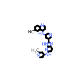 Cc1cc(Nc2ccc3nc(-c4cncc(Nc5ccnc6ccc(C#N)cc56)c4)[nH]c3n2)ccn1